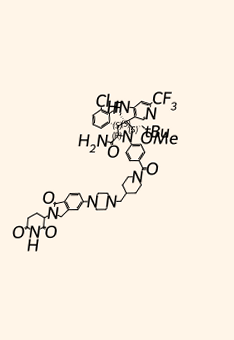 COc1cc(C(=O)N2CCC(CN3CCN(c4ccc5c(c4)CN(C4CCC(=O)NC4=O)C5=O)CC3)CC2)ccc1N1[C@@H](CC(C)(C)C)[C@@]2(CNc3cc(C(F)(F)F)ncc32)[C@@H](c2cccc(Cl)c2F)[C@@H]1C(N)=O